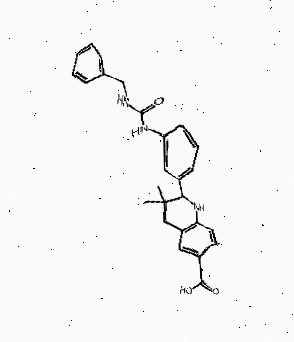 CC1(C)Cc2cc(C(=O)O)ccc2NC1c1cccc(NC(=O)NCc2ccccc2)c1